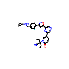 CCC(C#N)(CC)n1cc(-c2cncc(-c3cc(-c4ccc(CNC5CC5)cc4F)no3)n2)ccc1=O